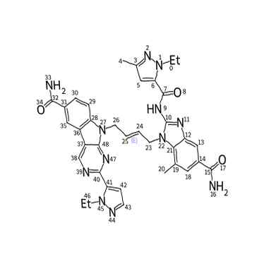 CCn1nc(C)cc1C(=O)Nc1nc2cc(C(N)=O)cc(C)c2n1C/C=C/Cn1c2ccc(C(N)=O)cc2c2cnc(-c3ccnn3CC)nc21